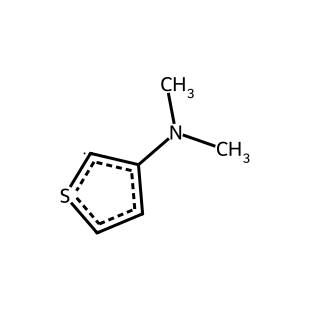 CN(C)c1[c]scc1